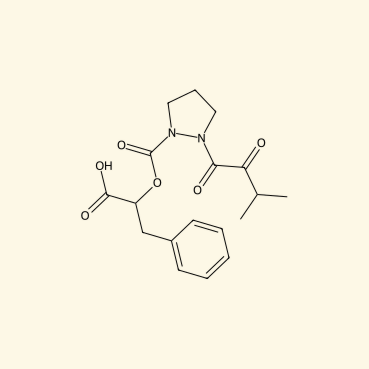 CC(C)C(=O)C(=O)N1CCCN1C(=O)OC(Cc1ccccc1)C(=O)O